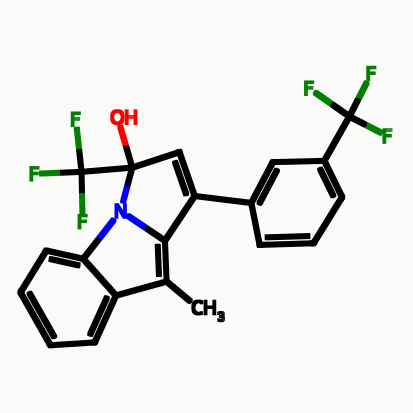 Cc1c2n(c3ccccc13)C(O)(C(F)(F)F)C=C2c1cccc(C(F)(F)F)c1